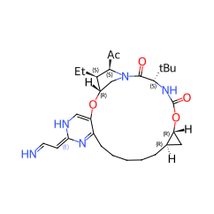 CC[C@@H]1[C@@H]2CN(C(=O)[C@H](C(C)(C)C)NC(=O)O[C@@H]3C[C@H]3CCCCCC3=N/C(=C/C=N)NC=C3O2)[C@@H]1C(C)=O